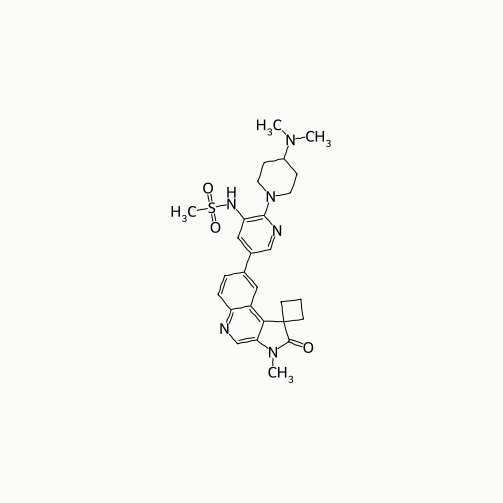 CN1C(=O)C2(CCC2)c2c1cnc1ccc(-c3cnc(N4CCC(N(C)C)CC4)c(NS(C)(=O)=O)c3)cc21